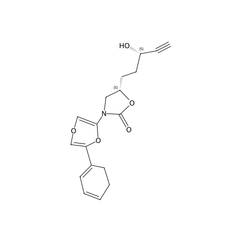 C#C[C@@H](O)CC[C@H]1CN(C2=COC=C(C3=CC=CCC3)O2)C(=O)O1